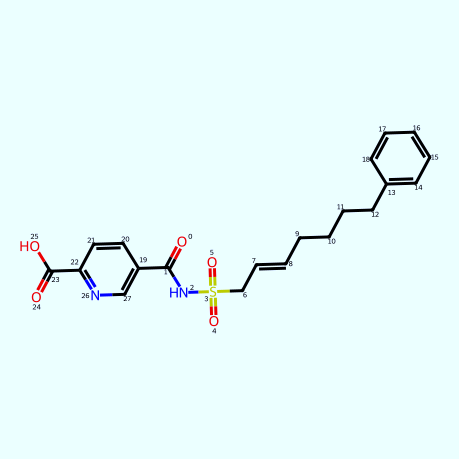 O=C(NS(=O)(=O)CC=CCCCCc1ccccc1)c1ccc(C(=O)O)nc1